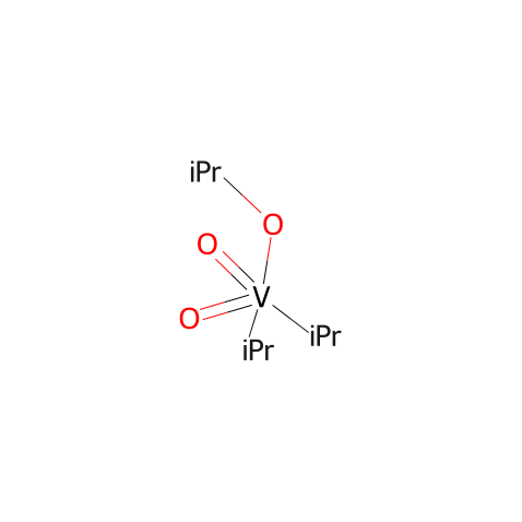 CC(C)[O][V](=[O])(=[O])([CH](C)C)[CH](C)C